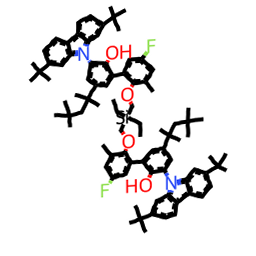 CC[Si](CC)(COc1c(C)cc(F)cc1-c1cc(C(C)(C)CC(C)(C)C)cc(-n2c3cc(C(C)(C)C)ccc3c3ccc(C(C)(C)C)cc32)c1O)COc1c(C)cc(F)cc1-c1cc(C(C)(C)CC(C)(C)C)cc(-n2c3cc(C(C)(C)C)ccc3c3ccc(C(C)(C)C)cc32)c1O